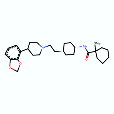 COC1(C(=O)N[C@H]2CC[C@H](CCN3CCC(c4cccc5c4OCO5)CC3)CC2)CCCCC1